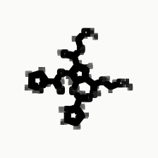 CCOC(=O)c1sc(C(=O)OCC)c(OC(=O)c2cccs2)c1OC(=O)c1cccs1